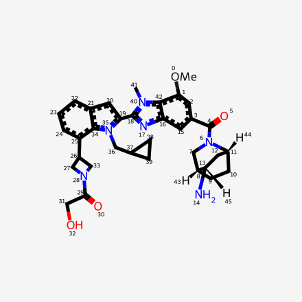 COc1cc(C(=O)N2C[C@H]3CC[C@@H]2C[C@@H]3N)cc2nc(-c3cc4cccc(C5CN(C(=O)CO)C5)c4n3CC3CC3)n(C)c12